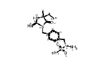 CCCS(=O)(=O)N(N)Cc1ccc(CN2C(=N)NC(C)(CC(C)C)C2=O)cc1